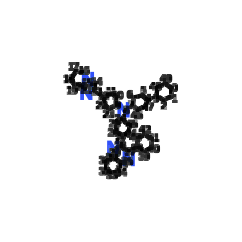 c1ccc(-c2ccc(N(c3ccc(-c4cn5ccccc5n4)cc3)c3ccc(-c4nc5ccccc5nc4-c4ccccc4)cc3)cc2)cc1